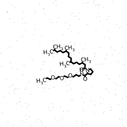 CCCOCCOCCOCCCNC(=O)C1CCCN1C(=O)CC(C)CCCC(C)CCCC(C)CCCC(C)C